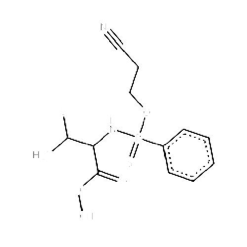 COC(=O)C(NP(=S)(OCCC#N)c1ccccc1)C(C)C